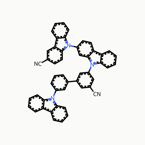 N#Cc1cc(-c2cccc(-n3c4ccccc4c4ccccc43)c2)cc(-n2c3ccccc3c3ccc(-n4c5ccccc5c5cc(C#N)ccc54)cc32)c1